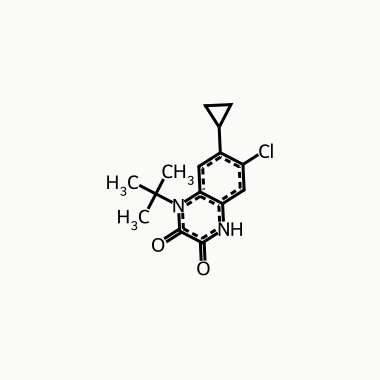 CC(C)(C)n1c(=O)c(=O)[nH]c2cc(Cl)c(C3CC3)cc21